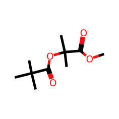 COC(=O)C(C)(C)OC(=O)C(C)(C)C